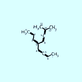 C=CC=C(C=C=CC)C=C=C(C)C